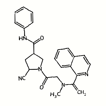 C=C(c1nccc2ccccc12)N(C)CC(=O)N1CC(C(=O)Nc2ccccc2)CC1C#N